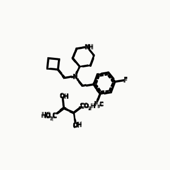 Fc1ccc(CN(CC2CCC2)C2CCNCC2)c(C(F)(F)F)c1.O=C(O)C(O)C(O)C(=O)O